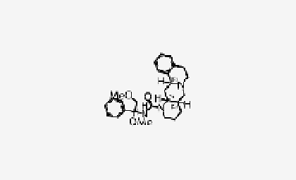 COC[C@](NC(=O)N1CCC[C@H]2CN3CCc4ccccc4[C@H]3C[C@H]21)(OC)c1ccccc1